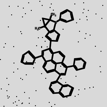 CC12CC1(C)N(c1ccccc1)c1ccc(-c3cc(-c4ccccc4)c4ccc5c(-c6cccc7ccccc67)cc(-c6ccccc6)c6ccc3c4c65)cc12